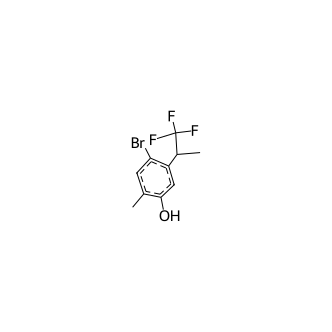 Cc1cc(Br)c(C(C)C(F)(F)F)cc1O